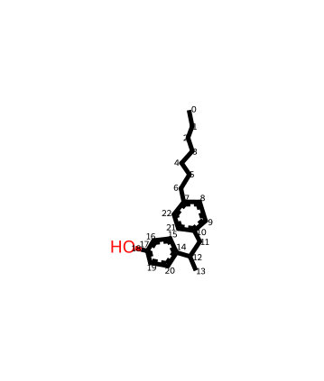 CCCCCCCc1ccc(CC(C)c2ccc(O)cc2)cc1